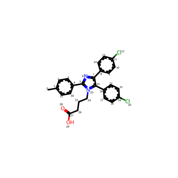 Cc1ccc(-c2nc(-c3ccc(Cl)cc3)c(-c3ccc(Cl)cc3)n2CCCC(=O)O)cc1